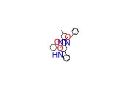 CC(C)Cc1c(OCc2ccccc2)nc(Cc2c[nH]c3ccccc23)c(OC2CCCCC2)[n+]1[O-]